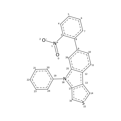 O=[N+]([O-])c1ccccc1-c1ccc2c3cscc3n(-c3ccccc3)c2c1